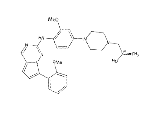 COc1cc(N2CCN(C[C@@H](C)O)CC2)ccc1Nc1ncc2ccc(-c3ccccc3OC)n2n1